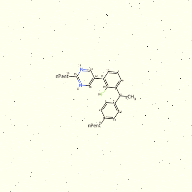 CCCCCc1ccc(C(C)c2cccc(-c3cnc(CCCCC)nc3)c2F)cc1